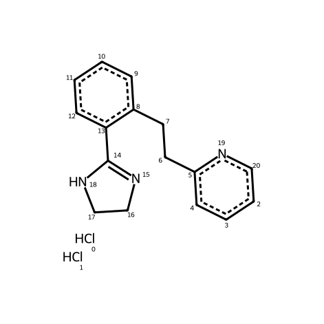 Cl.Cl.c1ccc(CCc2ccccc2C2=NCCN2)nc1